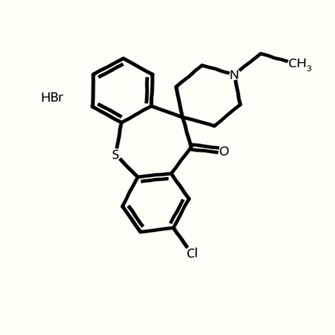 Br.CCN1CCC2(CC1)C(=O)c1cc(Cl)ccc1Sc1ccccc12